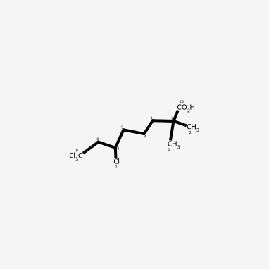 CC(C)(CCCC(Cl)CC(Cl)(Cl)Cl)C(=O)O